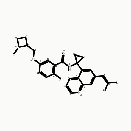 CC(C)=Cc1cc(C2(NC(=O)c3cc(OCC4CCN4C)ccc3C)CC2)c2cccnc2c1